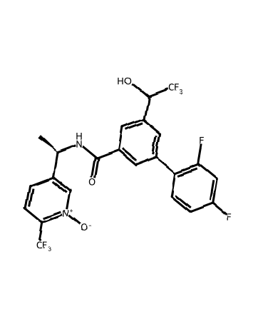 C[C@@H](NC(=O)c1cc(-c2ccc(F)cc2F)cc(C(O)C(F)(F)F)c1)c1ccc(C(F)(F)F)[n+]([O-])c1